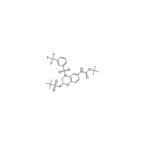 CC(C)(C)OC(=O)Nc1ccc2c(c1)N(S(=O)(=O)c1cccc(C(F)(F)F)c1)C[C@H](CS(=O)(=O)C(C)(C)C)O2